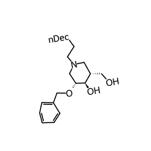 CCCCCCCCCCCCN1C[C@H](CO)[C@@H](O)[C@H](OCc2ccccc2)C1